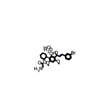 COc1cc(OC)c([C@@H]2CCCC[C@H]2OC(=O)CN)c(O)c1C(=O)/C=C/c1cccc(Br)c1.Cl.O